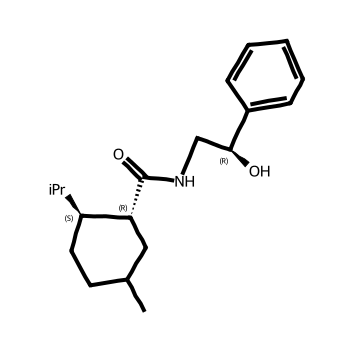 CC1CC[C@@H](C(C)C)[C@H](C(=O)NC[C@H](O)c2ccccc2)C1